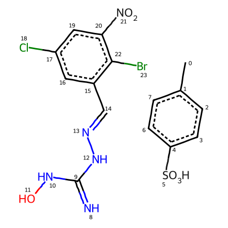 Cc1ccc(S(=O)(=O)O)cc1.N=C(NO)NN=Cc1cc(Cl)cc([N+](=O)[O-])c1Br